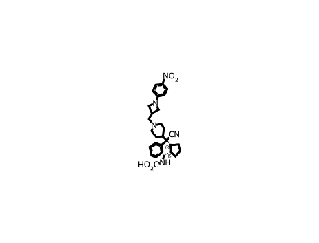 N#CC(c1ccccc1)(C1CCN(CC2CN(c3ccc([N+](=O)[O-])cc3)C2)CC1)[C@@H]1CCC[C@@H]1CNC(=O)O